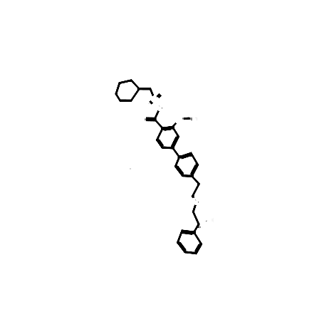 CC(C)Oc1cc(-c2ccc(CCNC[C@H](O)c3ccccc3)cc2)ccc1C(=O)NS(=O)(=O)CC1CCCCC1.Cl